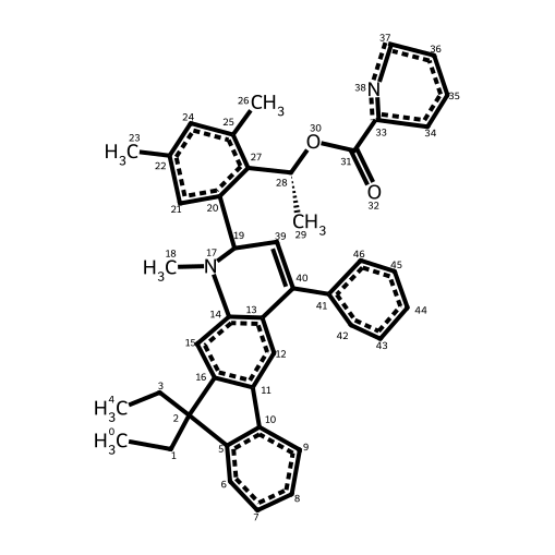 CCC1(CC)c2ccccc2-c2cc3c(cc21)N(C)C(c1cc(C)cc(C)c1[C@@H](C)OC(=O)c1ccccn1)C=C3c1ccccc1